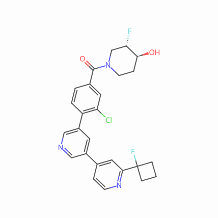 O=C(c1ccc(-c2cncc(-c3ccnc(C4(F)CCC4)c3)c2)c(Cl)c1)N1CC[C@H](O)[C@@H](F)C1